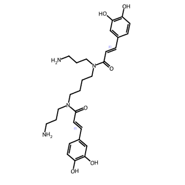 NCCCN(CCCCN(CCCN)C(=O)/C=C/c1ccc(O)c(O)c1)C(=O)/C=C/c1ccc(O)c(O)c1